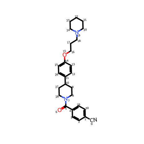 N#Cc1ccc(C(=O)N2CCC(c3ccc(OCCCN4CCCCC4)cc3)CC2)cc1